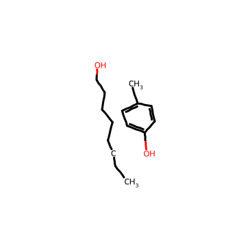 CCCCCCCCO.Cc1ccc(O)cc1